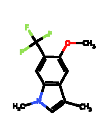 COc1cc2c(C)cn(C)c2cc1C(F)(F)F